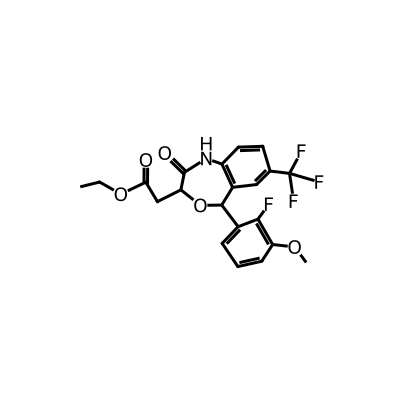 CCOC(=O)CC1OC(c2cccc(OC)c2F)c2cc(C(F)(F)F)ccc2NC1=O